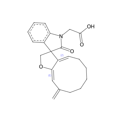 C=C1/C=C2/OCC3(C(=O)N(CC(=O)O)c4ccccc43)/C2=C/CCCCC1